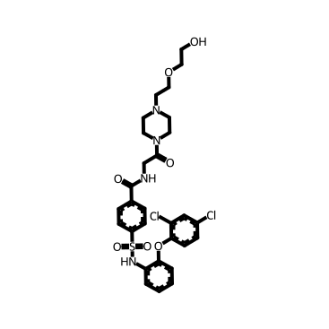 O=C(NCC(=O)N1CCN(CCOCCO)CC1)c1ccc(S(=O)(=O)Nc2ccccc2Oc2ccc(Cl)cc2Cl)cc1